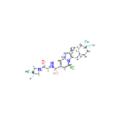 O=C(NCC(=O)N1CC(F)(F)C1)c1cc(Cl)n2c(CC3CCC(F)(F)CC3)c(C(F)(F)F)nc2c1